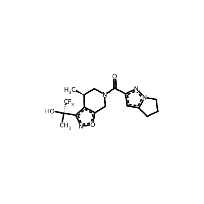 C[C@H]1CN(C(=O)c2cc3n(n2)CCC3)Cc2onc([C@@](C)(O)C(F)(F)F)c21